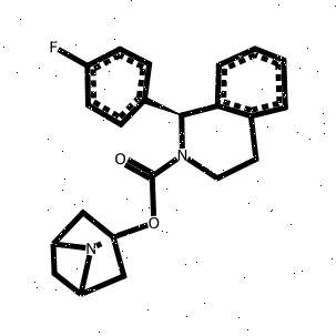 CN1C2CC(OC(=O)N3CCc4ccccc4[C@@H]3c3ccc(F)cc3)CC1C2